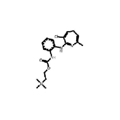 CC1=CCC=C(Cl)C(Nc2ccccc2NC(=O)OCC[Si](C)(C)C)=N1